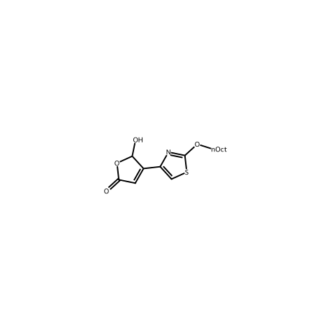 CCCCCCCCOc1nc(C2=CC(=O)OC2O)cs1